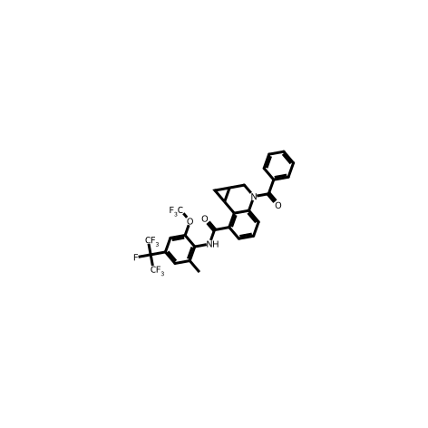 Cc1cc(C(F)(C(F)(F)F)C(F)(F)F)cc(OC(F)(F)F)c1NC(=O)c1cccc2c1C1CC1CN2C(=O)c1ccccc1